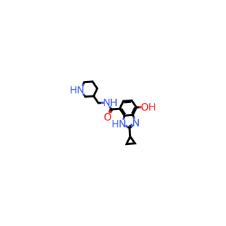 O=C(NCC1CCCNC1)c1ccc(O)c2nc(C3CC3)[nH]c12